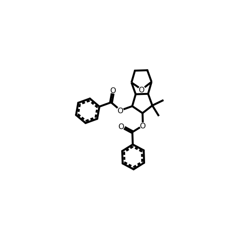 CC1(C)C(OC(=O)c2ccccc2)C(OC(=O)c2ccccc2)C2C3CCC(O3)C21